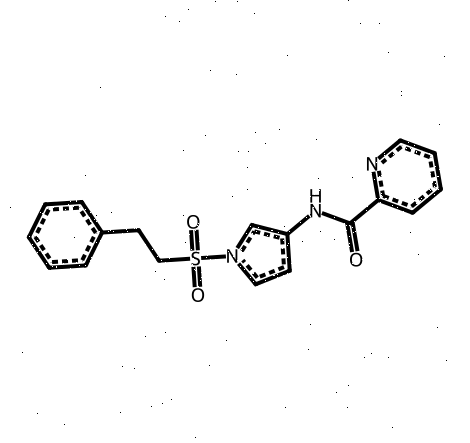 O=C(Nc1ccn(S(=O)(=O)CCc2ccccc2)c1)c1ccccn1